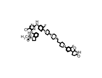 CS(=O)(=O)N1CCc2cccc(Nc3nc(Nc4ccc(N5CCC(N6CCN(CCC7CCN(c8ccc(C9CCC(=O)NC9=O)c(F)c8)CC7)CC6)CC5)c(F)c4)ncc3Cl)c21